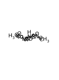 COCCNC(=O)c1ccc(C(=O)Nc2cc3n(n2)CCN3c2ccc3c(c2)CCN(C)C3=O)s1